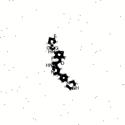 O=C(c1c(F)ccc(NS(=O)(=O)N2CC[C@@H](F)C2)c1F)c1c[nH]c2ncc(-c3ccc(N4CCNCC4)cc3)cc12